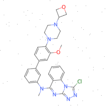 COc1cc(-c2cccc(N(C)c3nc4nnc(Cl)n4c4ccccc34)c2)ccc1N1CCN(C2COC2)CC1